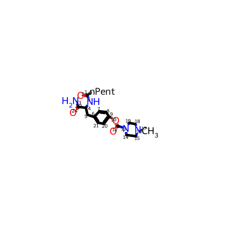 CCCCCC(=O)NC(Cc1ccc(OC(=O)N2CCN(C)CC2)cc1)C(N)=O